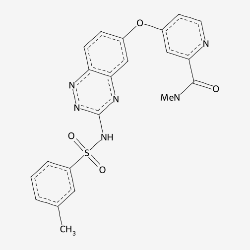 CNC(=O)c1cc(Oc2ccc3nnc(NS(=O)(=O)c4cccc(C)c4)nc3c2)ccn1